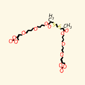 CC(CSCCSCC(C)C(=O)OCCCCOCCCCOCC=C1COC(=O)O1)C(=O)OCCCCOCCCCOCC=C1COC(=O)O1